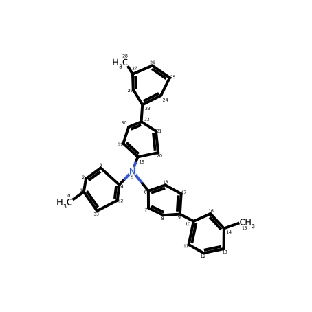 Cc1ccc(N(c2ccc(-c3cccc(C)c3)cc2)c2ccc(-c3cccc(C)c3)cc2)cc1